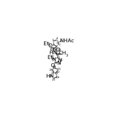 CCOc1ccc(NC(C)=O)cc1S(=O)(=O)N[C@H](C)c1nnc(Oc2ccc3cc[nH]c3c2)n1CC